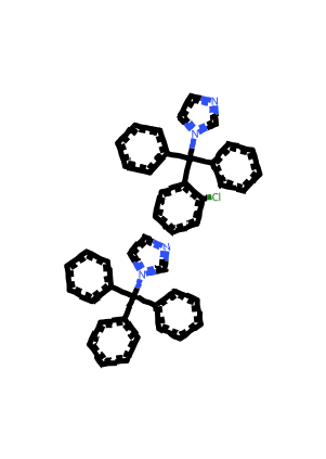 Clc1ccccc1C(c1ccccc1)(c1ccccc1)n1ccnc1.c1ccc(C(c2ccccc2)(c2ccccc2)n2ccnc2)cc1